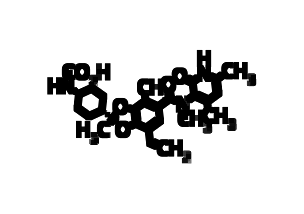 C=Cc1cc(C(=O)N(C)c2c(C)cc(C)[nH]c2=O)c(C)c2c1OC(C)([C@H]1CC[C@H](NC(=O)O)CC1)O2